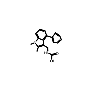 Cc1c(CNC(=O)O)c2c(-c3ccccc3)cccc2n1C